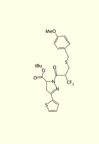 COc1ccc(CSCC(C(=O)N2N=C(c3cccs3)CC2C(=O)OC(C)(C)C)C(F)(F)F)cc1